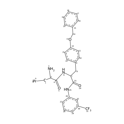 CC(C)CC(N)C(=O)NC(Cc1ccc(OCc2ccccc2)cc1)C(=O)Nc1cccc(C(F)(F)F)c1